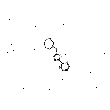 c1cnc(-c2ccc(CN3CCCCCC3)s2)nc1